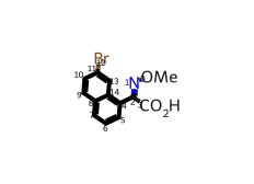 CON=C(C(=O)O)c1cccc2ccc(Br)cc12